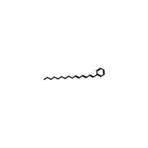 CCCCCCCCCC=CC=CC=Cc1[c]cccc1